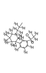 [2H]c1c([2H])c([C@@]2([2H])C([2H])([2H])N(C([2H])([2H])C([2H])([2H])C)C([2H])([2H])C([2H])([2H])C2([2H])[2H])c([2H])c(S(=O)(=O)C([2H])([2H])[2H])c1[2H]